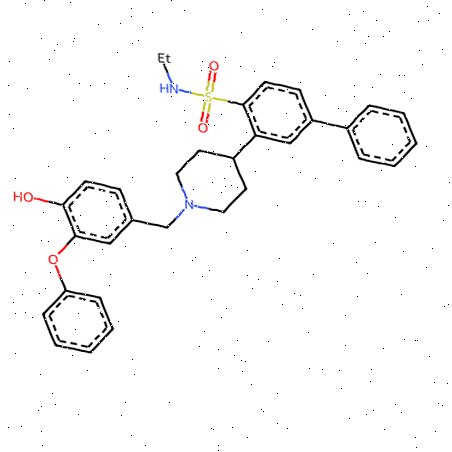 CCNS(=O)(=O)c1ccc(-c2ccccc2)cc1C1CCN(Cc2ccc(O)c(Oc3ccccc3)c2)CC1